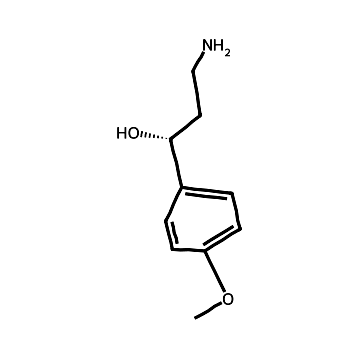 COc1ccc([C@H](O)CCN)cc1